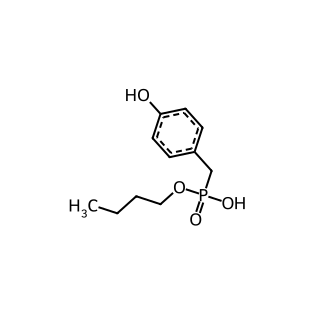 CCCCOP(=O)(O)Cc1ccc(O)cc1